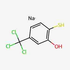 Oc1cc(C(Cl)(Cl)Cl)ccc1S.[Na]